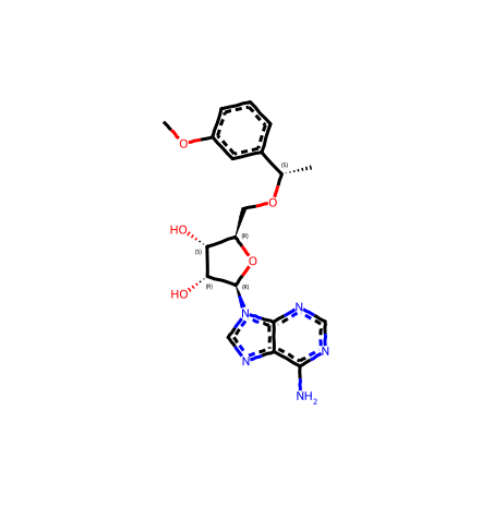 COc1cccc([C@H](C)OC[C@H]2O[C@@H](n3cnc4c(N)ncnc43)[C@H](O)[C@@H]2O)c1